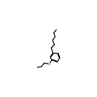 CCCCCCc1cccc(OCCC)c1